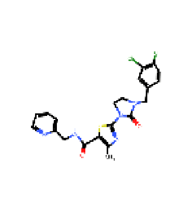 Cc1nc(N2CCN(Cc3ccc(Cl)c(Cl)c3)C2=O)sc1C(=O)NCc1ccccn1